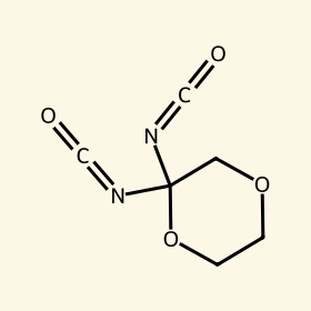 O=C=NC1(N=C=O)COCCO1